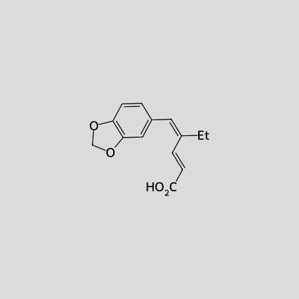 CCC(C=CC(=O)O)=Cc1ccc2c(c1)OCO2